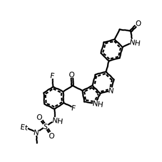 CCN(C)S(=O)(=O)Nc1ccc(F)c(C(=O)c2c[nH]c3ncc(-c4ccc5c(c4)NC(=O)C5)cc23)c1F